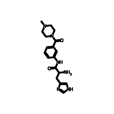 CN1CCN(C(=O)c2cccc(NC(=O)C(N)Cc3c[nH]cn3)c2)CC1